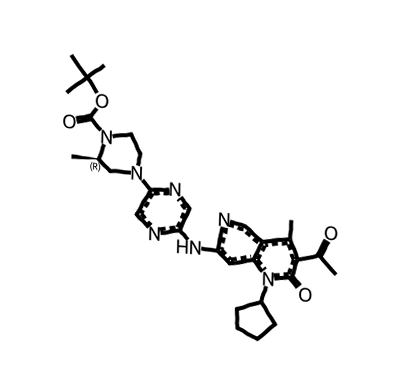 CC(=O)c1c(C)c2cnc(Nc3cnc(N4CCN(C(=O)OC(C)(C)C)[C@H](C)C4)cn3)cc2n(C2CCCC2)c1=O